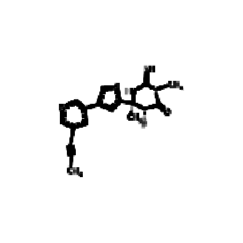 CC#Cc1cncc(-c2csc([C@@]3(C)NC(=N)N(C)C(=O)[C@@H]3F)c2)c1